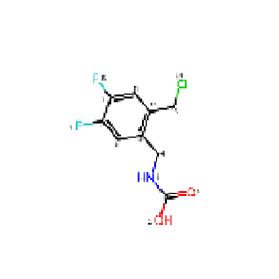 O=C(O)NCc1cc(F)c(F)cc1CCl